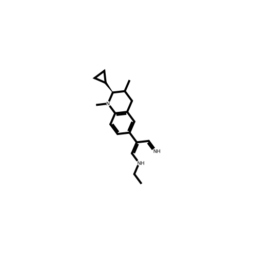 CCN/C=C(\C=N)c1ccc2c(c1)CC(C)[C@H](C1CC1)N2C